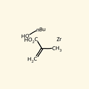 C=C(C)C(=O)O.CCCCO.[Zr]